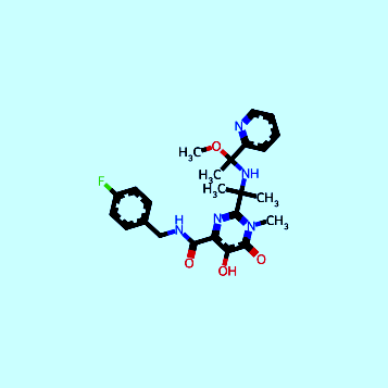 COC(C)(NC(C)(C)c1nc(C(=O)NCc2ccc(F)cc2)c(O)c(=O)n1C)c1ccccn1